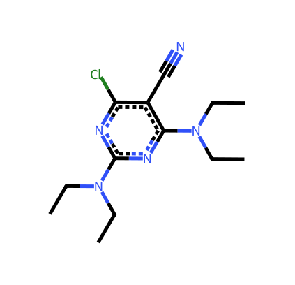 CCN(CC)c1nc(Cl)c(C#N)c(N(CC)CC)n1